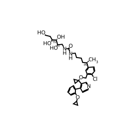 C[C@H](CCCCNC(=O)NC[C@H](O)[C@@H](O)[C@H](O)CCO)c1ccc(Cl)c(COC2(c3cnccc3-c3ccccc3OC3CC3)CC2)c1